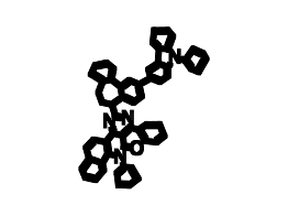 O=c1c2c(-c3ccccc3)nc(C3CCc4ccccc4-c4cc(-c5ccc6c(c5)c5ccccc5n6-c5ccccc5)ccc43)nc2c2ccc3ccccc3c2n1-c1ccccc1